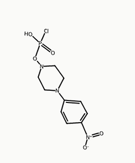 O=[N+]([O-])c1ccc(N2CCN(OP(=O)(O)Cl)CC2)cc1